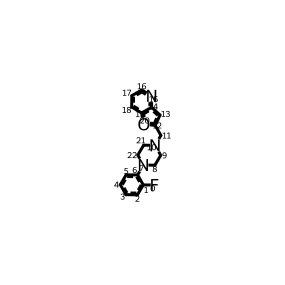 Fc1ccccc1N1CCN(Cc2cc3ncccc3o2)CC1